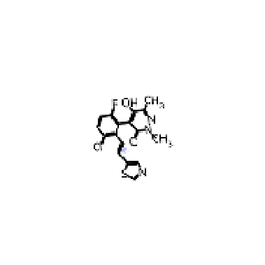 Cc1nn(C)c(=O)c(-c2c(F)ccc(Cl)c2/C=C/c2cncs2)c1O